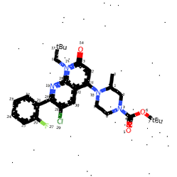 CC1CN(C(=O)OC(C)(C)C)CCN1c1cc(=O)n(CC(C)(C)C)c2nc(-c3ccccc3F)c(Cl)cc12